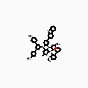 Cc1cc2c3c(c1)N(c1c(-c4ccccc4)ccc4c1OCO4)c1ccc(C(C)(C)C)cc1B3c1cc(-c3ccc4c(c3)sc3ccccc34)ccc1N2c1cc(-c2ccc(C(C)(C)C)cc2)cc(-c2ccc(C(C)(C)C)cc2)c1